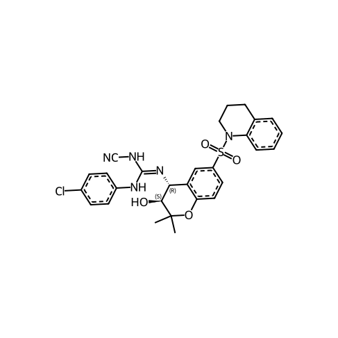 CC1(C)Oc2ccc(S(=O)(=O)N3CCCc4ccccc43)cc2[C@@H](N=C(NC#N)Nc2ccc(Cl)cc2)[C@@H]1O